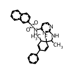 CC1C=C(c2ccccc2)C=CC1(F)C(C)Nc1nccc(NS(=O)(=O)c2ccc3ccccc3c2)n1